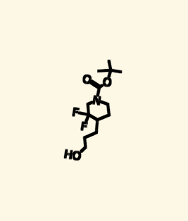 CC(C)(C)OC(=O)N1CCC(CCCO)C(F)(F)C1